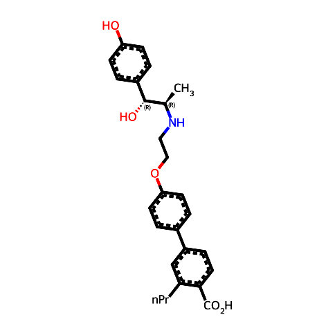 CCCc1cc(-c2ccc(OCCN[C@H](C)[C@H](O)c3ccc(O)cc3)cc2)ccc1C(=O)O